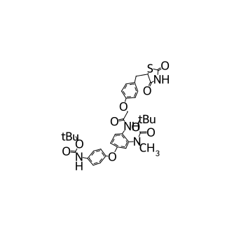 CN(C(=O)OC(C)(C)C)c1cc(Oc2ccc(NC(=O)OC(C)(C)C)cc2)ccc1NC(=O)COc1ccc(CC2SC(=O)NC2=O)cc1